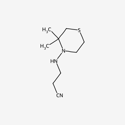 CC1(C)CSCCN1NCCC#N